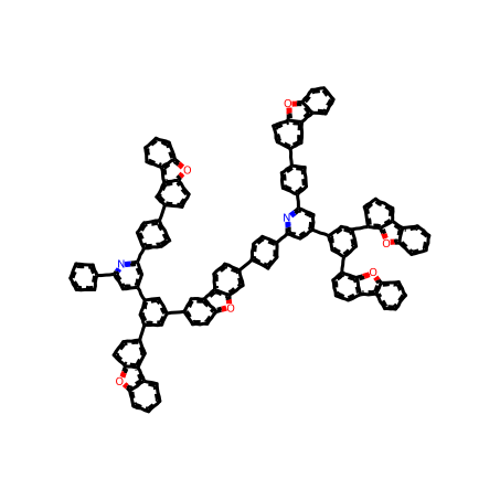 c1ccc(-c2cc(-c3cc(-c4ccc5oc6ccccc6c5c4)cc(-c4ccc5oc6cc(-c7ccc(-c8cc(-c9cc(-c%10cccc%11c%10oc%10ccccc%10%11)cc(-c%10cccc%11c%10oc%10ccccc%10%11)c9)cc(-c9ccc(-c%10ccc%11oc%12ccccc%12c%11c%10)cc9)n8)cc7)ccc6c5c4)c3)cc(-c3ccc(-c4ccc5oc6ccccc6c5c4)cc3)n2)cc1